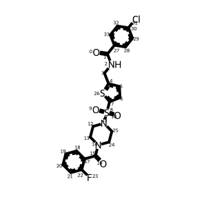 O=C(NCc1ccc(S(=O)(=O)N2CCN(C(=O)c3ccccc3F)CC2)s1)c1ccc(Cl)cc1